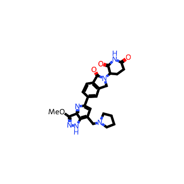 COc1n[nH]c2c(CN3CCCC3)cc(-c3ccc4c(c3)CN(C3CCC(=O)NC3=O)C4=O)nc12